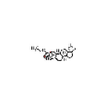 CCOC(=O)CC(O)[C@]12CCC(=O)CC1=CC[C@@H]1[C@@H]2CC[C@]2(C)C(=O)CC[C@@H]12